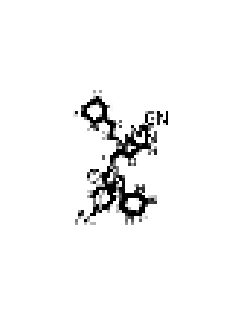 CC(=O)N1CCC2(CC1)C(=O)N(Cc1cc3cnc(C#N)nc3n1CCC1CCCCC1)CN2c1ccccc1